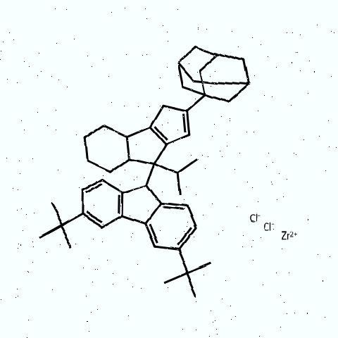 CC(C)C1(C2c3ccc(C(C)(C)C)cc3-c3cc(C(C)(C)C)ccc32)C2=C(CC(C34CC5CC(CC(C5)C3)C4)=C2)C2CCCCC21.[Cl-].[Cl-].[Zr+2]